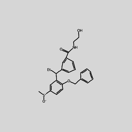 CCC(c1cccc(C(=O)NCCO)c1)c1cc([S+](C)[O-])ccc1OCc1ccccc1